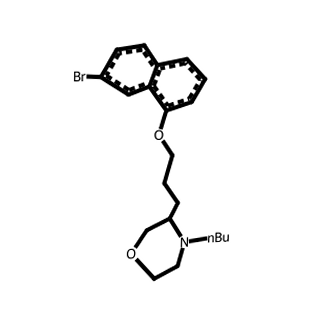 C[CH]CCN1CCOCC1CCCOc1cccc2ccc(Br)cc12